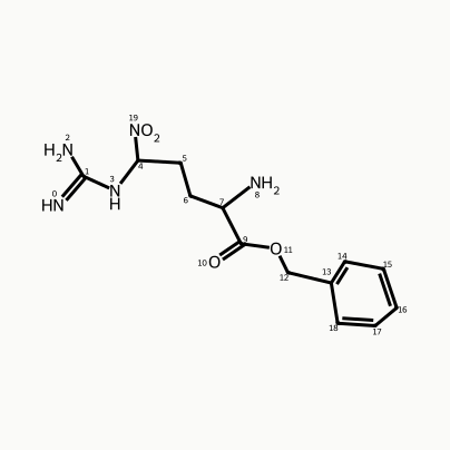 N=C(N)NC(CCC(N)C(=O)OCc1ccccc1)[N+](=O)[O-]